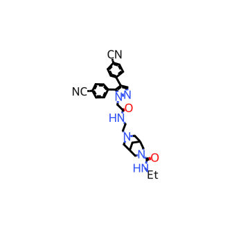 CCNC(=O)N1CC2CC(CN(CCNC(=O)Cn3ncc(-c4ccc(C#N)cc4)c3-c3ccc(C#N)cc3)C2)C1